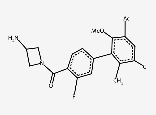 COc1c(C(C)=O)cc(Cl)c(C)c1-c1ccc(C(=O)N2CC(N)C2)c(F)c1